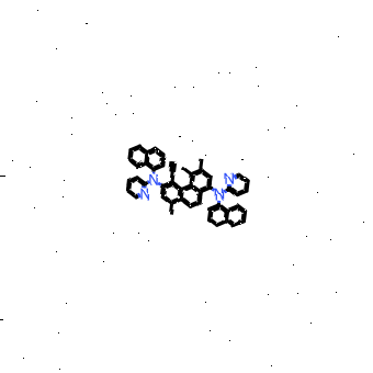 C#Cc1c(N(c2ccccn2)c2cccc3ccccc23)cc(C)c2ccc3c(N(c4ccccn4)c4cccc5ccccc45)cc(C)c(C)c3c12